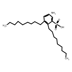 CCCCCCCCCc1cccc(S(=O)(=O)O)c1CCCCCCCCC.N